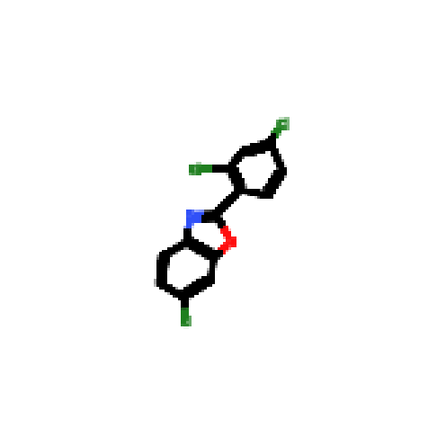 Clc1ccc(-c2nc3ccc(Cl)cc3o2)c(Cl)c1